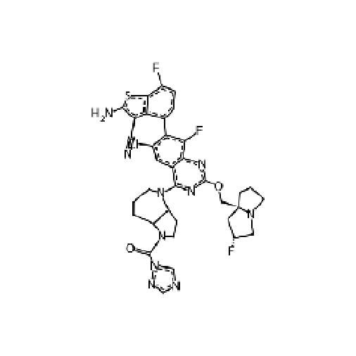 N#Cc1c(N)sc2c(F)ccc(-c3c(Cl)cc4c(N5CCCC6C5CCN6C(=O)n5cncn5)nc(OC[C@@]56CCCN5C[C@H](F)C6)nc4c3F)c12